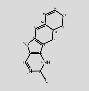 IC1N=Cc2oc3c(c2N1)CC1CCC=CC1=C3